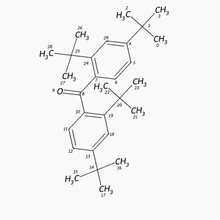 CC(C)(C)c1ccc(C(=O)c2ccc(C(C)(C)C)cc2C(C)(C)C)c(C(C)(C)C)c1